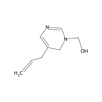 C=CCC1=CN=CN(CO)C1